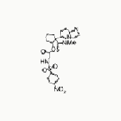 CNC(=S)C1(c2ccc3nccn3c2)CCCCC1OC(=O)CNS(=O)(=O)c1ccc([N+](=O)[O-])cc1